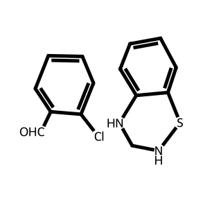 O=Cc1ccccc1Cl.c1ccc2c(c1)NCNS2